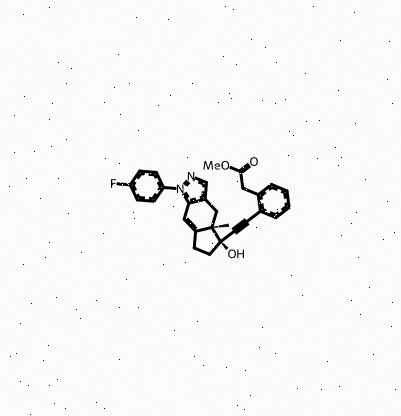 COC(=O)Cc1ccccc1C#C[C@]1(O)CCC2=Cc3c(cnn3-c3ccc(F)cc3)C[C@@]21C